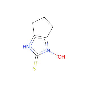 On1c2c([nH]c1=S)CCC2